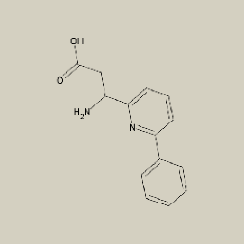 NC(CC(=O)O)c1cccc(-c2ccccc2)n1